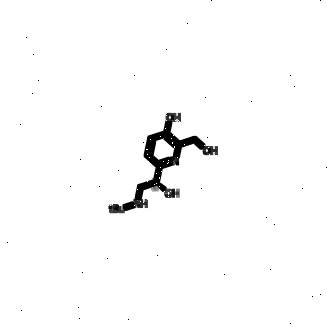 CC(C)(C)NC[C@H](O)c1ccc(O)c(CO)n1